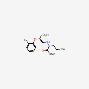 CCOC(=O)C(=CNC(CCC(C)(C)C)C(=O)OC)Oc1ccccc1Cl